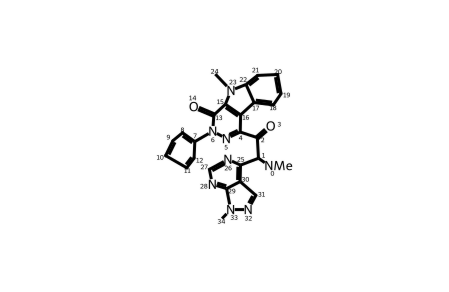 CNC(C(=O)c1nn(-c2ccccc2)c(=O)c2c1c1ccccc1n2C)c1ncnc2c1cnn2C